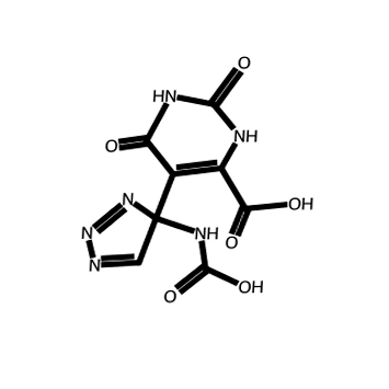 O=C(O)NC1(c2c(C(=O)O)[nH]c(=O)[nH]c2=O)C=NN=N1